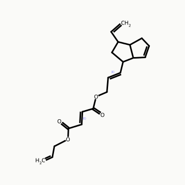 C=CCOC(=O)/C=C/C(=O)OC/C=C/C1CC(C=C)C2CC=CC12